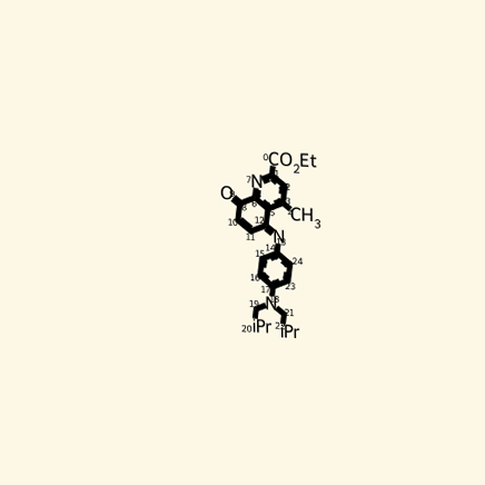 CCOC(=O)c1cc(C)c2c(n1)C(=O)C=CC2=Nc1ccc(N(CC(C)C)CC(C)C)cc1